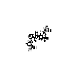 CC(Oc1cc(NC(=O)c2cccnc2Nc2cccc3c2CNC3=O)ccc1C(F)(F)F)C1CCCN1